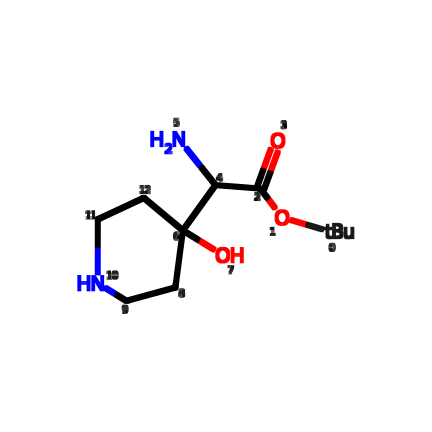 CC(C)(C)OC(=O)C(N)C1(O)CCNCC1